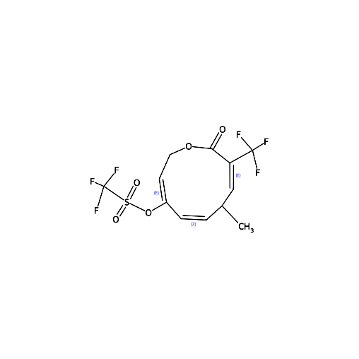 CC1/C=C\C(OS(=O)(=O)C(F)(F)F)=C/COC(=O)/C(C(F)(F)F)=C\1